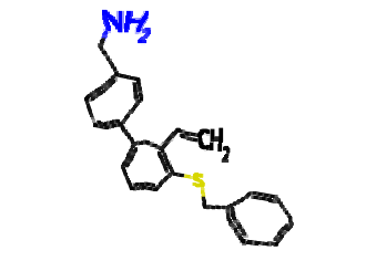 C=Cc1c(SCc2ccccc2)cccc1-c1ccc(CN)cc1